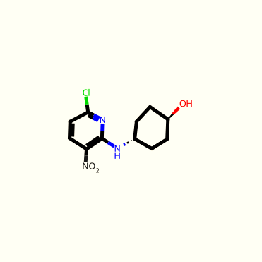 O=[N+]([O-])c1ccc(Cl)nc1N[C@H]1CC[C@H](O)CC1